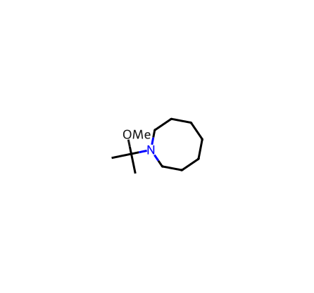 COC(C)(C)N1CCCCCCC1